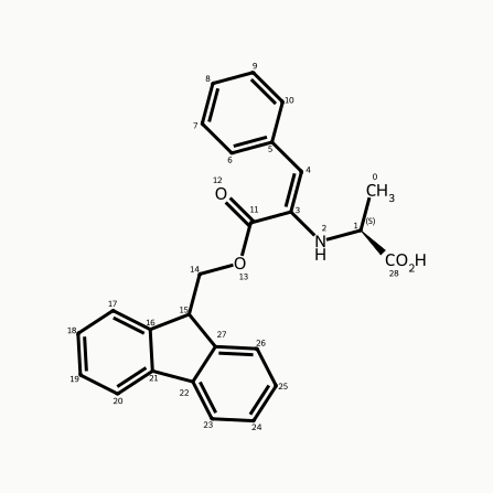 C[C@H](NC(=Cc1ccccc1)C(=O)OCC1c2ccccc2-c2ccccc21)C(=O)O